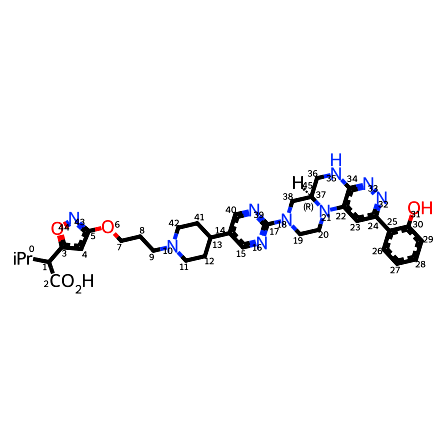 CC(C)C(C(=O)O)c1cc(OCCCN2CCC(c3cnc(N4CCN5c6cc(-c7ccccc7O)nnc6NC[C@@H]5C4)nc3)CC2)no1